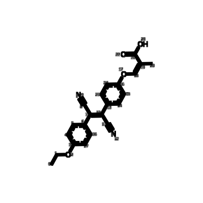 CCOc1ccc(C(C#N)=C(C#N)c2ccc(OC=C(C)C(=O)O)cc2)cc1